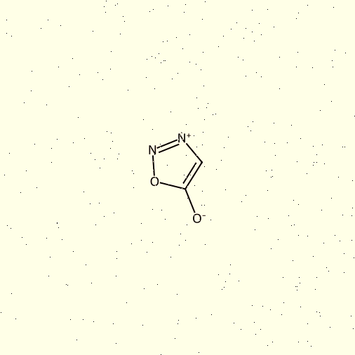 [O-]C1=C[N+]=NO1